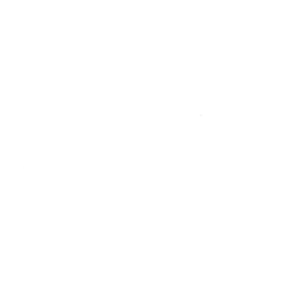 CCOc1ccc(-c2ccc(OC(=O)c3ccc(-c4ccc(C(C)O)cc4)c(F)c3F)cc2)c(F)c1F